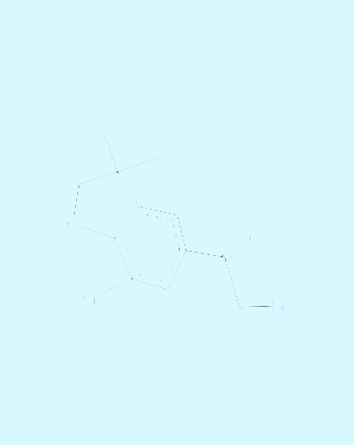 CC(C)(C)c1cc(C(=O)CBr)cc2c1OCC2(C)C